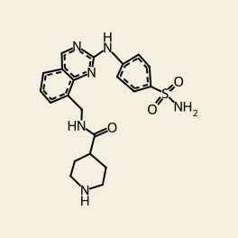 NS(=O)(=O)c1ccc(Nc2ncc3cccc(CNC(=O)C4CCNCC4)c3n2)cc1